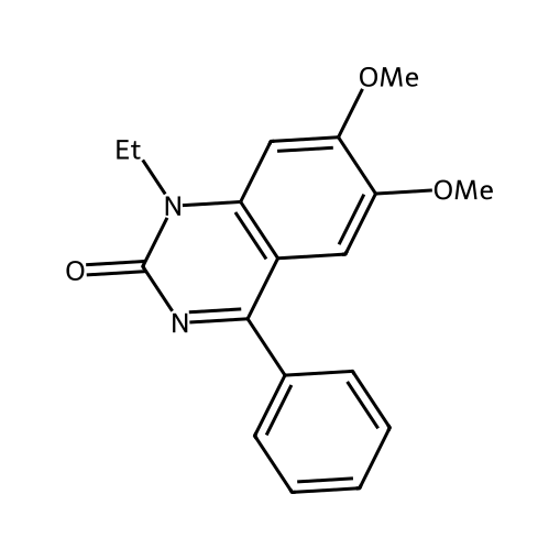 CCn1c(=O)nc(-c2ccccc2)c2cc(OC)c(OC)cc21